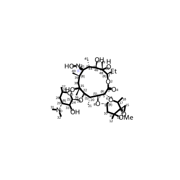 CC[C@H]1OC(=O)[C@H](C)[C@@H](O[C@H]2CC(C)(OC)[C@]3(CO3)C(C)O2)[C@H](C)[C@@H](O[C@@H]2OC(C)C[C@@H](N(C)C)C2O)[C@](C)(O)C[C@@H](C)/C(=N\O)[C@H](C)[C@@H](O)[C@]1(C)O